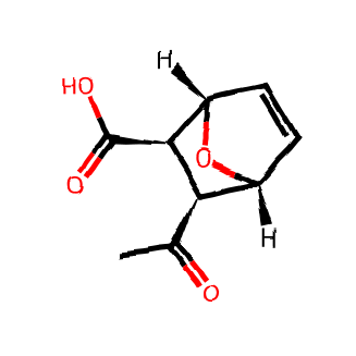 CC(=O)[C@H]1[C@@H](C(=O)O)[C@@H]2C=C[C@H]1O2